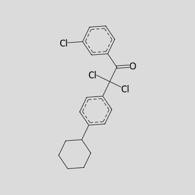 O=C(c1cccc(Cl)c1)C(Cl)(Cl)c1ccc(C2CCCCC2)cc1